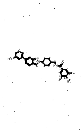 Cc1cncc(-c2ccc3cn(C4CCC(CNC(=O)c5cc(F)c(O)c(F)c5)CC4)nc3c2)c1